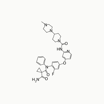 CN1CCN(C2CCN(C(=O)Nc3cc(Oc4ccc(N(C(=O)C5(C(N)=O)CC5)c5ccccc5)c(F)c4)ccn3)CC2)CC1